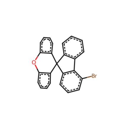 Brc1cccc2c1-c1ccccc1C21c2ccccc2Oc2ccccc21